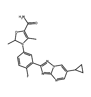 CC1=C(C(N)=O)OC(C)N1c1ccc(F)c(-c2nc3ncc(C4CC4)cn3n2)c1